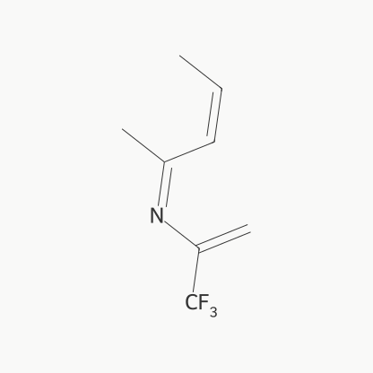 C=C(/N=C(C)\C=C/C)C(F)(F)F